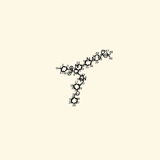 Cc1ccc(S(=O)(=O)n2cc(-c3cnn(Cc4cccc(OCc5ccccc5)c4)c3)c3cc(-c4ccc(N5CCN(C(=O)OC(C)(C)C)CC5)nc4)cnc32)cc1